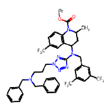 CC(C)OC(=O)N1c2ccc(C(F)(F)F)cc2C(N(Cc2cc(C(F)(F)F)cc(C(F)(F)F)c2)c2nnn(CCCN(Cc3ccccc3)Cc3ccccc3)n2)CC1C